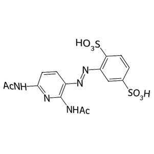 CC(=O)Nc1ccc(/N=N/c2cc(S(=O)(=O)O)ccc2S(=O)(=O)O)c(NC(C)=O)n1